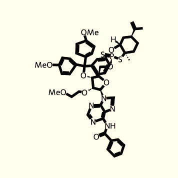 C=C(C)[C@H]1CC[C@@]2(C)S[P@@](=S)(OC[C@H]3O[C@@H](n4cnc5c(NC(=O)c6ccccc6)ncnc54)[C@H](OCCOC)[C@@H]3OC(c3ccccc3)(c3ccc(OC)cc3)c3ccc(OC)cc3)O[C@@H]2C1